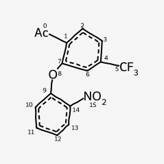 CC(=O)c1ccc(C(F)(F)F)cc1Oc1ccccc1[N+](=O)[O-]